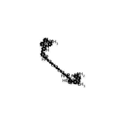 Cc1ccc(NC(=O)c2ccc(CN3CCN(CC(=O)NCCOCCOCCOCCOCCOCCNC(=O)CCC(NC(=O)c4ccc(N(C)Cc5cnc6c(N)nc(N)nc6n5)cc4)C(=O)O)CC3)cc2)cc1Nc1nccc(-c2cccnc2)n1